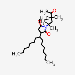 BC(=O)C(C)(C)CC(C)(C)N1C(=O)CC(C(CCCCCCC)CCCCCCC)C1=O